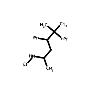 CCCC(C)(C)C(CC(C)NCC)C(C)C